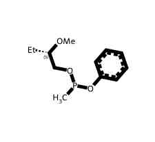 CC[C@@H](COP(C)Oc1ccccc1)OC